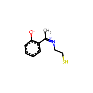 C/C(=N/CCS)c1ccccc1O